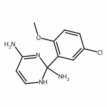 COc1ccc(Cl)cc1C1(N)N=C(N)C=CN1